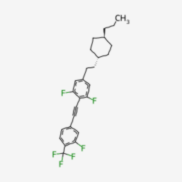 CCC[C@H]1CC[C@H](CCc2cc(F)c(C#Cc3ccc(C(F)(F)F)c(F)c3)c(F)c2)CC1